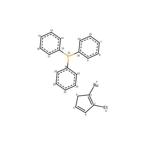 CCC1=[C]([Ru])CC=C1.c1ccc(P(c2ccccc2)c2ccccc2)cc1